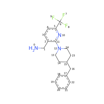 NCc1ccc(C(F)(F)F)nc1N1CCC(Cc2ccccc2)CC1